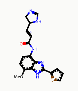 COc1ccc(NC(=O)/C=C/C2CN=CN2)c2nc(-c3cccs3)[nH]c12